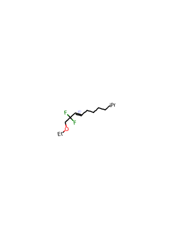 CCOCC(F)(F)/C=C/CCCCC(C)C